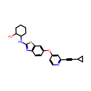 OC1CCCCC1Nc1nc2ccc(Oc3ccnc(C#CC4CC4)c3)cc2s1